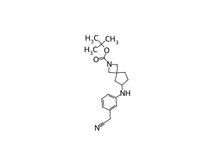 CC(C)(C)OC(=O)N1CC2(CCC(Nc3cccc(CC#N)c3)C2)C1